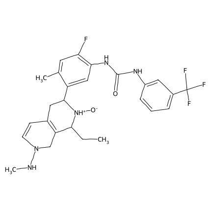 CCC1C2=C(C=CN(NC)C2)CC(c2cc(NC(=O)Nc3cccc(C(F)(F)F)c3)c(F)cc2C)[NH+]1[O-]